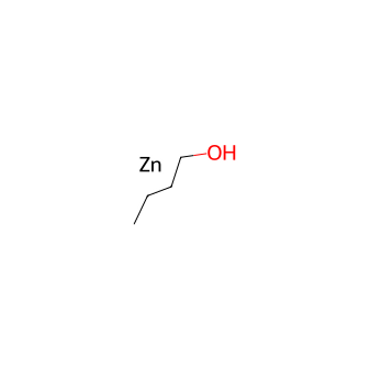 CCCCO.[Zn]